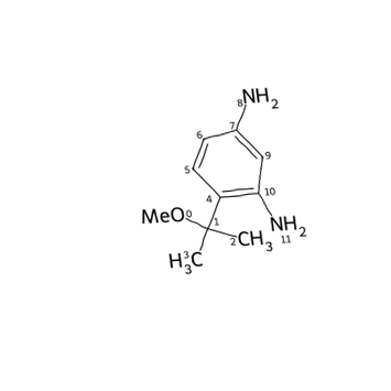 COC(C)(C)c1ccc(N)cc1N